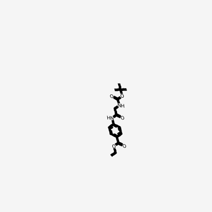 CCOC(=O)c1ccc(NC(=O)CNC(=O)OC(C)(C)C)cc1